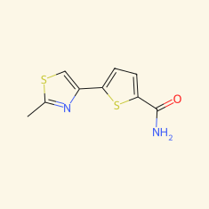 Cc1nc(-c2ccc(C(N)=O)s2)cs1